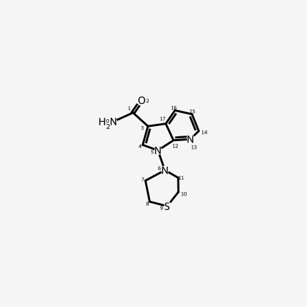 NC(=O)c1cn(N2CCSCC2)c2ncccc12